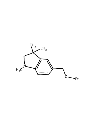 CCOCc1ccc2c(c1)C(C)(C)CN2C